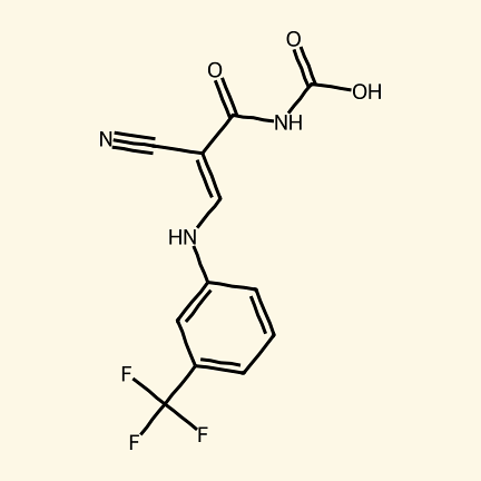 N#C/C(=C\Nc1cccc(C(F)(F)F)c1)C(=O)NC(=O)O